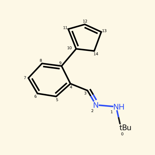 CC(C)(C)N/N=C/c1ccccc1C1=CC=CC1